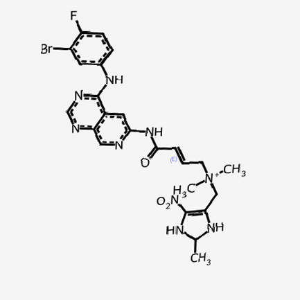 CC1NC(C[N+](C)(C)C/C=C/C(=O)Nc2cc3c(Nc4ccc(F)c(Br)c4)ncnc3cn2)=C([N+](=O)[O-])N1